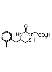 Cc1ccccc1CC(CS)NC(=O)OCC(=O)O